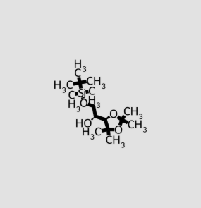 CC1(C)O[C@H]([C@H](O)CO[Si](C)(C)C(C)(C)C)C(C)(C)O1